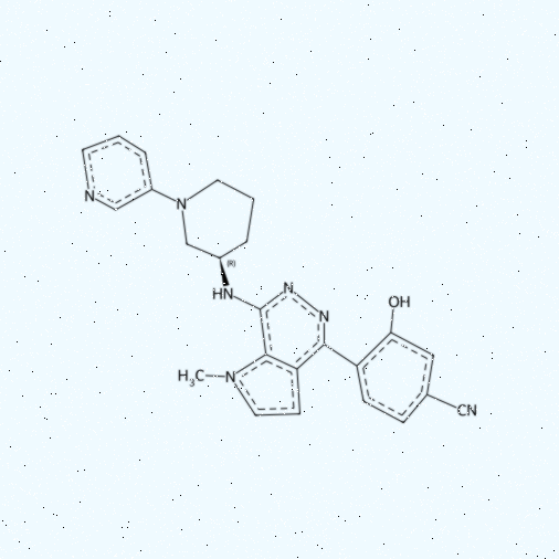 Cn1ccc2c(-c3ccc(C#N)cc3O)nnc(N[C@@H]3CCCN(c4cccnc4)C3)c21